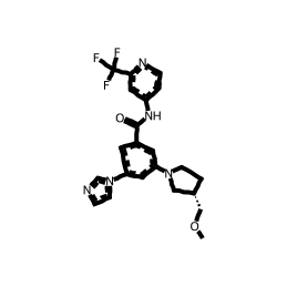 COC[C@H]1CCN(c2cc(C(=O)Nc3ccnc(C(F)(F)F)c3)cc(-n3ccnc3)c2)C1